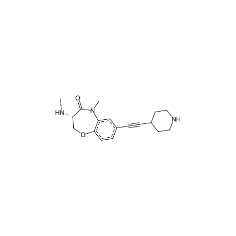 CN1C(=O)[C@@H](NI)COc2ccc(C#CC3CCNCC3)cc21